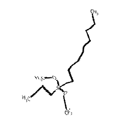 CCCCCCCC[Si](CCC)(OC)OC